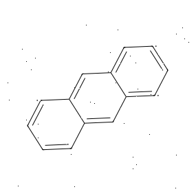 [c]1c[c]c2cc3ccc[c]c3cc2c1